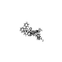 C=CC1=C(C(=O)OC(c2ccccc2)c2ccccc2)N2C(=O)C(NC(=O)C(=NOCC)c3csc(N)n3)[C@@H]2SC1